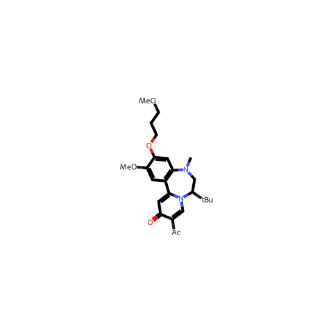 COCCCOc1cc2c(cc1OC)-c1cc(=O)c(C(C)=O)cn1C(C(C)(C)C)CN2C